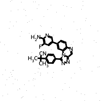 CC(C)(C#N)c1ccc(-c2nnc3cnc4ccc(-c5cnc(N)c(F)c5)cc4n23)cc1